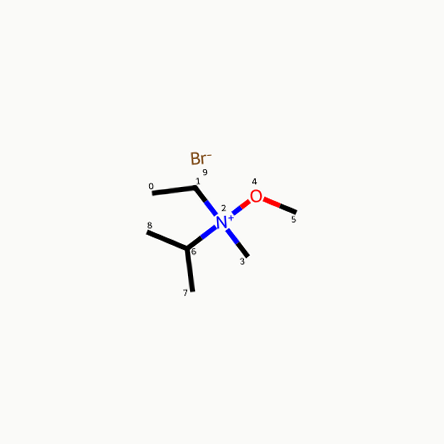 CC[N+](C)(OC)C(C)C.[Br-]